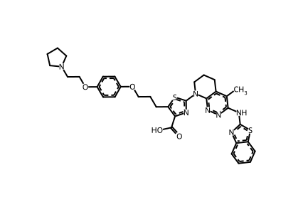 Cc1c(Nc2nc3ccccc3s2)nnc2c1CCCN2c1nc(C(=O)O)c(CCCOc2ccc(OCCN3CCCC3)cc2)s1